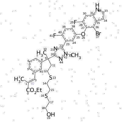 CCOC(=O)/C(C)=C/c1cccc(C(C)(CCSCCSCCO)c2nc(-c3cc(Oc4c(F)cc5[nH]ccc5c4Br)ccc3F)n(C)n2)c1